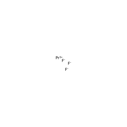 [F-].[F-].[F-].[Pr+3]